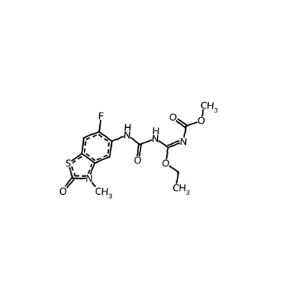 CCO/C(=N/C(=O)OC)NC(=O)Nc1cc2c(cc1F)sc(=O)n2C